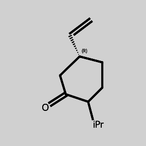 C=C[C@@H]1CCC(C(C)C)C(=O)C1